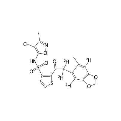 [2H]c1c(C)c(C([2H])([2H])C(=O)c2sccc2S(=O)(=O)Nc2onc(C)c2Cl)c([2H])c2c1OCO2